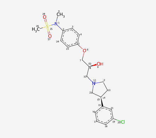 CN(c1ccc(OC[C@@H](O)CN2CC[C@@H](c3cccc(Cl)c3)C2)cc1)S(C)(=O)=O